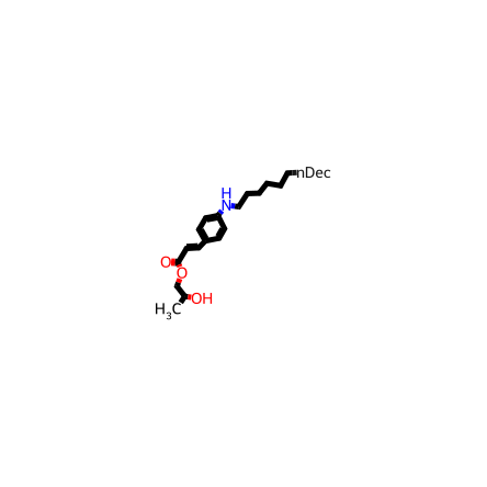 CCCCCCCCCCCCCCCCNc1ccc(C=CC(=O)OCC(C)O)cc1